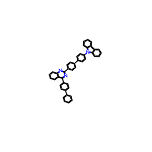 c1ccc(-c2ccc(-c3nc(-c4ccc(-c5ccc(-n6c7ccccc7c7ccccc76)cc5)cc4)nc4ccccc34)cc2)cc1